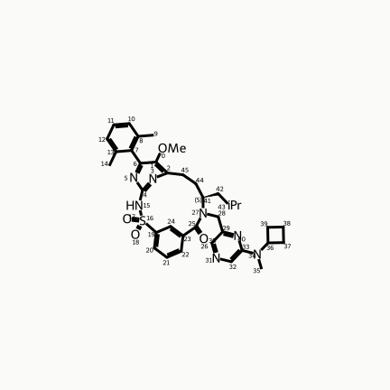 COc1c2nc(nc1-c1c(C)cccc1C)NS(=O)(=O)c1cccc(c1)C(=O)N(Cc1cncc(N(C)C3CCC3)n1)[C@H](CC(C)C)CC2